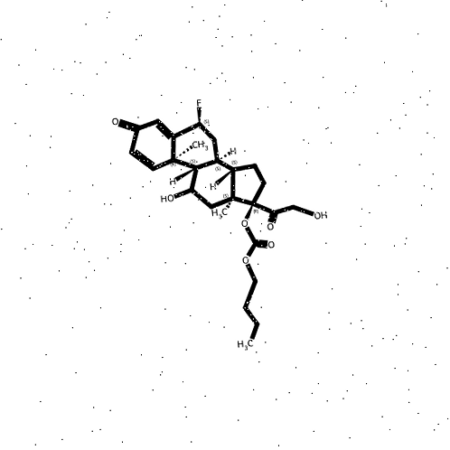 CCCCOC(=O)O[C@]1(C(=O)CO)CC[C@H]2[C@@H]3C[C@H](F)C4=CC(=O)C=C[C@]4(C)[C@H]3C(O)C[C@@]21C